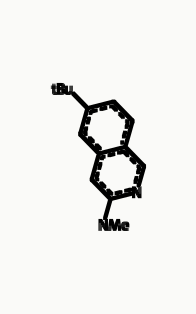 CNc1cc2cc(C(C)(C)C)ccc2cn1